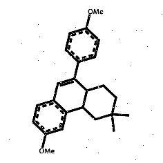 COc1ccc(C2=Cc3ccc(OC)cc3C3CC(C)(C)CCC23)cc1